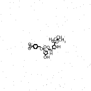 CC(C)(C)OC(=O)C1C[C@H](NC(=O)[C@@H]2CC(O)CN2C(=O)OCc2ccc([N+](=O)[O-])cc2)CN1